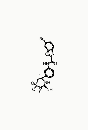 CN1C(=N)N[C@](C)(c2cccc(NC(=O)c3nc4ccc(Br)cc4o3)c2)CS1(=O)=O